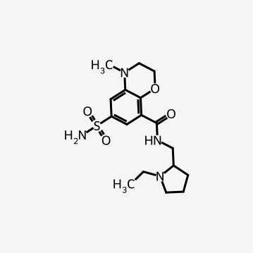 CCN1CCCC1CNC(=O)c1cc(S(N)(=O)=O)cc2c1OCCN2C